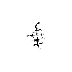 CCC(C)(C)C(F)(C(F)(F)F)C(F)(F)C(C)(C)C